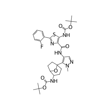 Cn1ncc(NC(=O)c2nc(-c3ccccc3F)sc2NC(=O)OC(C)(C)C)c1C12CCC(NC(=O)OC(C)(C)C)C(CC1)O2